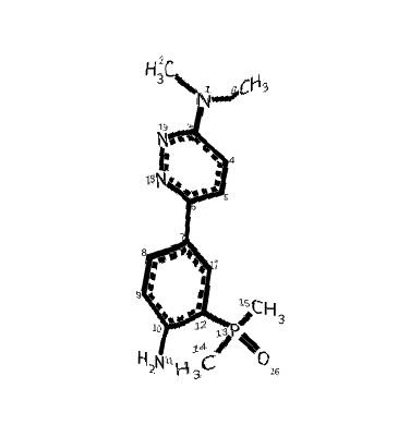 CN(C)c1ccc(-c2ccc(N)c(P(C)(C)=O)c2)nn1